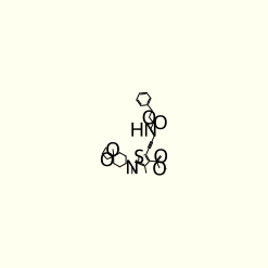 COC(=O)c1c(C#CCNC(=O)OCc2ccccc2)sc(N(C)C2CCC3(CC2)OCCO3)c1C